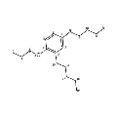 CC[CH]Oc1ccc(CCCCC)cc1CCCCC